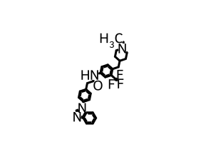 CCN1CCC(Cc2ccc(NC(=O)Cc3ccc(-n4cnc5ccccc54)cc3)cc2C(F)(F)F)CC1